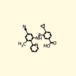 Cc1cc(C#N)cc(NSc2cc(C(=O)O)ccc2C2CC2)c1-c1ccccn1